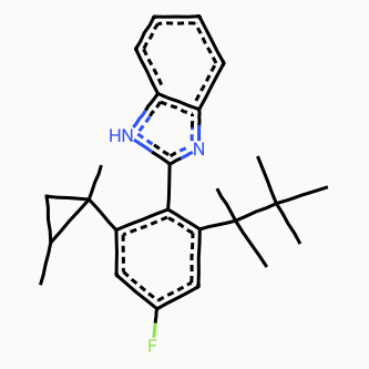 CC1CC1(C)c1cc(F)cc(C(C)(C)C(C)(C)C)c1-c1nc2ccccc2[nH]1